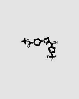 CC(C)(C)OC(=O)N1CCC(n2ccc(C(O)c3ccc(C(F)(F)F)cc3)n2)CC1